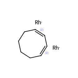 C1=C\CCCC\C=C/1.[Rh].[Rh]